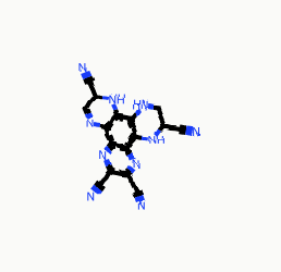 N#Cc1nc2c3c(c4c(c2nc1C#N)NC(C#N)CN4)NC(C#N)C=N3